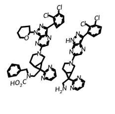 NCC1(c2ncccn2)C2CCN(c3cnc4c(-c5cccc(Cl)c5Cl)n[nH]c4n3)CC21.O=C(O)N(Cc1ccccc1)CC1(c2ncccn2)C2CCN(c3cnc4c(-c5cccc(Cl)c5Cl)nn(C5CCCCO5)c4n3)CC21